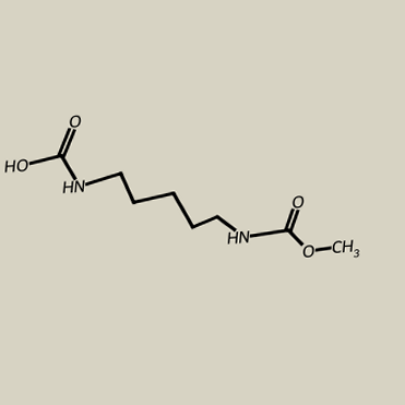 COC(=O)NCCCCCNC(=O)O